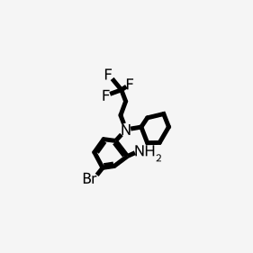 Nc1cc(Br)ccc1N(CCC(F)(F)F)C1CCCCC1